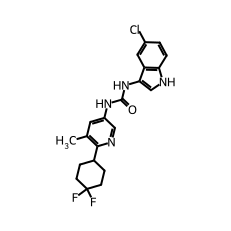 Cc1cc(NC(=O)Nc2c[nH]c3ccc(Cl)cc23)cnc1C1CCC(F)(F)CC1